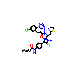 COC(=O)Nc1ccc(-c2nc(C(Cc3nccs3)NC(=O)C=Cc3cc(Cl)ccc3-n3cnnn3)[nH]c2Cl)cc1